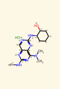 CCCNc1nc(N(C)C)c2nc(N[C@@H]3CCCC[C@@H]3O)ncc2n1.Cl